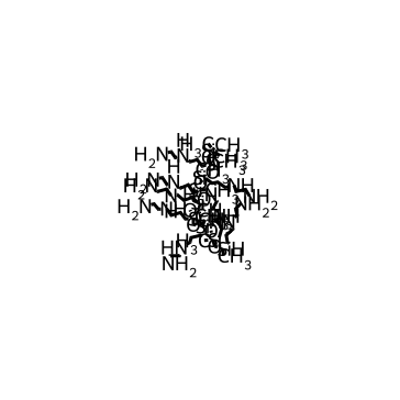 C[SiH](CCCNCCN)O[Si](C)(CCCNCCN)O[Si](C)(CCCNCCN)O[Si](C)(CCCNCCN)O[Si](C)(CCCNCCN)O[Si](C)(CCCNCCN)O[Si](C)(CCCNCCN)O[Si](C)(CCCNCCN)O[Si](C)(C)C